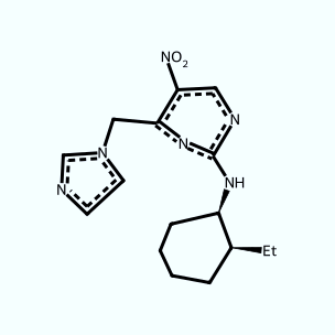 CC[C@H]1CCCC[C@H]1Nc1ncc([N+](=O)[O-])c(Cn2ccnc2)n1